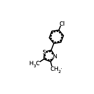 [CH2]c1nc(-c2ccc(Cl)cc2)sc1C